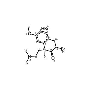 Br.COc1ccc2c(c1)C(C)(CCN(C)C)C(=O)C(Br)C2